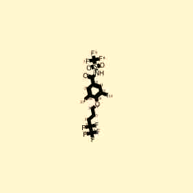 O=C(NS(=O)(=O)C(F)(F)F)c1cc(I)c(OCCCC(F)(F)C(F)(F)F)c(I)c1